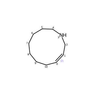 C1=C\CNCCCCCCC/1